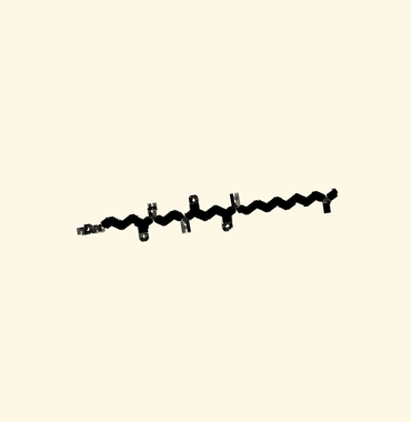 CCCCCCCCCCCCCC(=O)NCCNC(=O)CCC(=O)NCCCCCCCCN(C)C